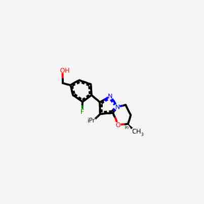 CC(C)c1c(-c2ccc(CO)cc2F)nn2c1O[C@H](C)CC2